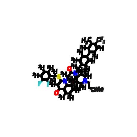 [2H]c1c([2H])c(F)c(F)c(C([2H])([2H])Sc2c([2H])c(=O)c3c([2H])c([2H])c([2H])c([2H])c3n2C([2H])([2H])C(=O)N(C([2H])([2H])c2c([2H])c([2H])c(-c3c([2H])c([2H])c(C(F)(F)F)c(C)c3[2H])c([2H])c2[2H])C2([2H])C([2H])([2H])C([2H])([2H])N(CCOC)C([2H])([2H])C2([2H])[2H])c1[2H]